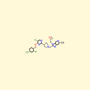 N#Cc1cc2nc(CN3CCC(c4ncc(F)c(OCc5ccc(Cl)cc5F)n4)CC3)n(C[C@@H]3CCO3)c2cn1